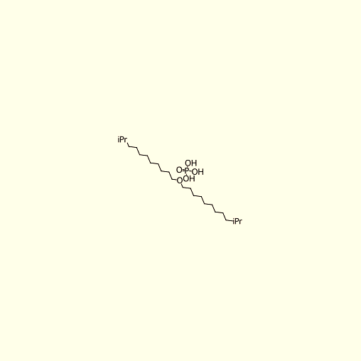 CC(C)CCCCCCCCCOCCCCCCCCCC(C)C.O=P(O)(O)O